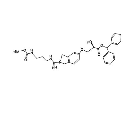 CC(C)(C)OC(=O)NCCCNC(=N)N1Cc2ccc(OC[C@@H](O)C(=O)OC(c3ccccc3)c3ccccc3)cc2C1